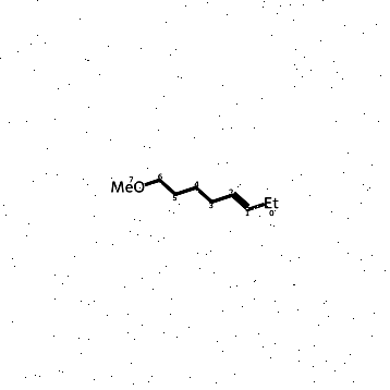 [CH2]C/C=C/CCCCOC